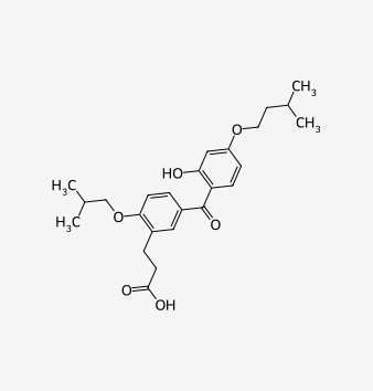 CC(C)CCOc1ccc(C(=O)c2ccc(OCC(C)C)c(CCC(=O)O)c2)c(O)c1